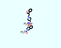 CC(=O)N1CCc2c(cccc2S(=O)(=O)N(C)CC2CCN(CCc3coc4ccccc34)CC2)C1